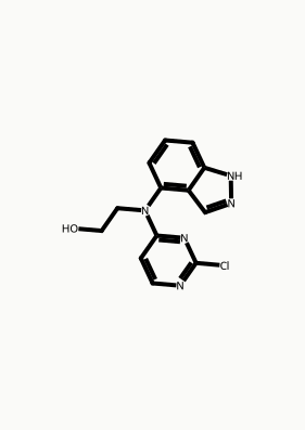 OCCN(c1ccnc(Cl)n1)c1cccc2[nH]ncc12